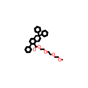 COCCOCCOCCOC(=O)c1c(-c2ccccc2)ccc2c1C=CC(c1ccccc1)(c1ccccc1)C2